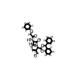 O=CC1=CS[C@H]2C(NC(=O)COc3ccccc3)C(=O)N2C1C(=O)OC(c1ccccc1)c1ccccc1